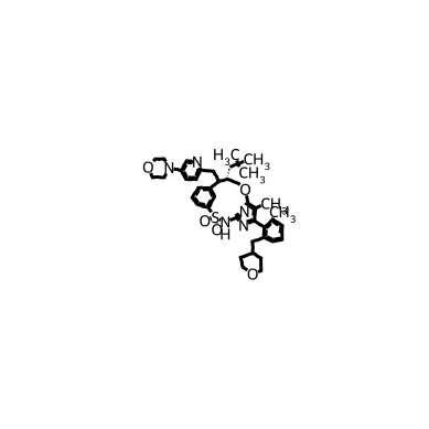 Cc1cccc(CC2CCOCC2)c1-c1nc2nc(c1C)OC[C@@H](CC(C)(C)C)C(Cc1ccc(N3CCOCC3)cn1)c1cccc(c1)S(=O)(=O)N2